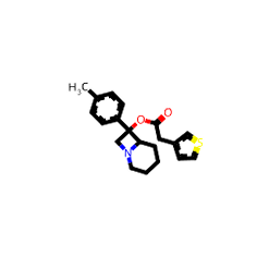 Cc1ccc(C2(OC(=O)Cc3ccsc3)CN3CCCCC32)cc1